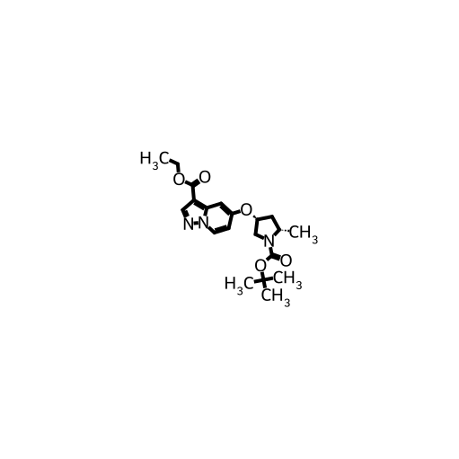 CCOC(=O)c1cnn2ccc(O[C@@H]3C[C@H](C)N(C(=O)OC(C)(C)C)C3)cc12